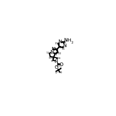 CC(C)(C)OC(=O)N1CC2(CCn3nc(-c4cnc(N)nc4)cc32)C1